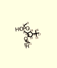 CCP(=O)(O)CC1=C(O[SiH](C)C)CC(C(C)(C)C)C1